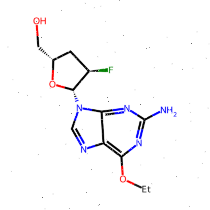 CCOc1nc(N)nc2c1ncn2[C@@H]1O[C@H](CO)C[C@H]1F